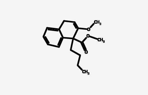 CCCCC1(C(=O)OC)C(OC)=CCc2ccccc21